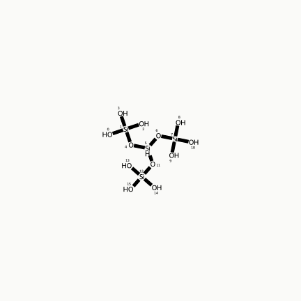 O[Si](O)(O)O[SiH](O[Si](O)(O)O)O[Si](O)(O)O